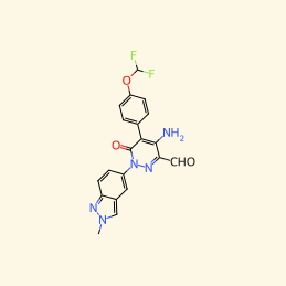 Cn1cc2cc(-n3nc(C=O)c(N)c(-c4ccc(OC(F)F)cc4)c3=O)ccc2n1